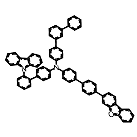 c1ccc(-c2cccc(-c3ccc(N(c4ccc(-c5ccc(-c6ccc7c(c6)oc6ccccc67)cc5)cc4)c4ccc(-c5ccccc5-n5c6ccccc6c6ccccc65)cc4)cc3)c2)cc1